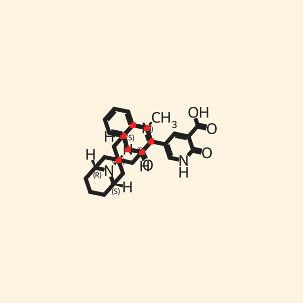 C[C@@H]1C[C@@H]2C[C@H](C1)C[C@@H](N1[C@@H]3CCC[C@H]1C[C@@H](n1c(=O)c(-c4c[nH]c(=O)c(C(=O)O)c4)nc4ccccc41)C3)C2